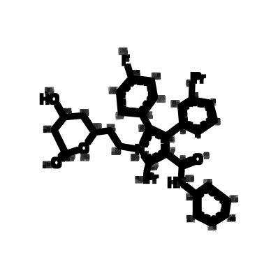 CC(C)c1cccc(-c2c(C(=O)Nc3ccccc3)c(C(C)C)n(CCC3CC(O)CC(=O)O3)c2-c2ccc(F)cc2)c1